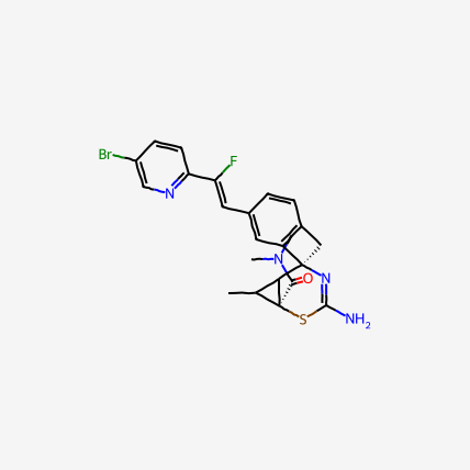 CC1C2[C@@]1(C(=O)N(C)C)SC(N)=N[C@@]21Cc2ccc(/C=C(\F)c3ccc(Br)cn3)cc21